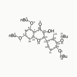 CCCCOc1cc(OCCCC)c2c(=O)c(O)c(-c3ccc(OCCCC)c(OCCCC)c3C)oc2c1